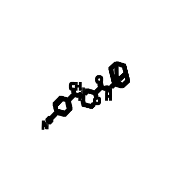 CC(c1ccc(C#N)cc1)N1CCOC(C(=O)NC2C3CC4CC(C3)CC2C4)C1